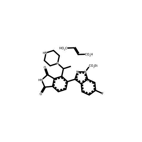 CCOC(=O)n1nc(-c2ccc3c(c2C(C)N2CCNCC2)C(=O)NC3=O)c2ccc(F)cc21.O=C(O)C=CC(=O)O